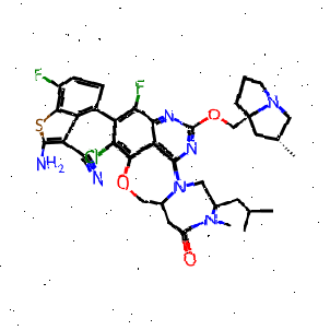 CC(C)CC1CN2c3nc(OC[C@@]45CCCN4C[C@H](C)C5)nc4c(F)c(-c5ccc(F)c6sc(N)c(C#N)c56)c(Cl)c(c34)OCC2CC(=O)N1C